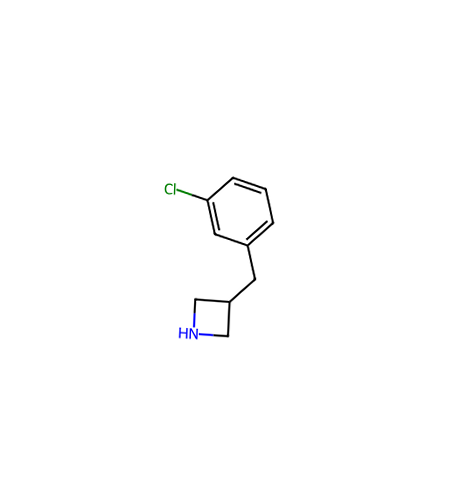 Clc1cccc(CC2CNC2)c1